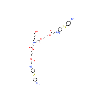 Nc1ccc(SSc2ccc(NCCC(=O)OCCCCOC(=O)CCN(CCCCCO)CCC(=O)OCCCCOC(=O)CCNc3ccc(SSc4ccc(N)cc4)cc3)cc2)cc1